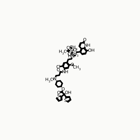 COc1cc(NC(=O)CCN(C)[C@H]2CC[C@H](OC(=O)C(O)(c3cccs3)c3cccs3)CC2)c(Cl)cc1CCNC[C@H](O[Si](C)(C)C(C)(C)C)c1ccc(O)c2[nH]c(=O)ccc12